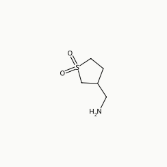 NCC1CCS(=O)(=O)C1